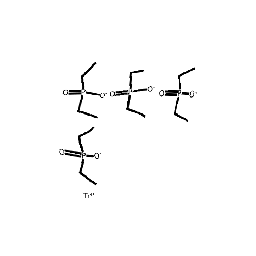 CCP(=O)([O-])CC.CCP(=O)([O-])CC.CCP(=O)([O-])CC.CCP(=O)([O-])CC.[Ti+4]